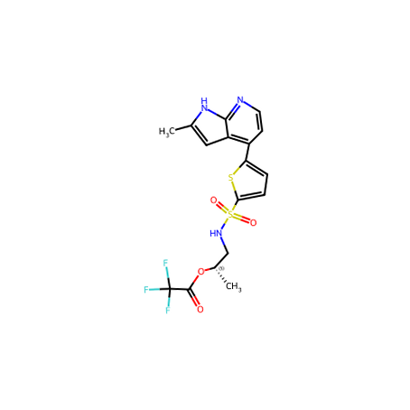 Cc1cc2c(-c3ccc(S(=O)(=O)NC[C@H](C)OC(=O)C(F)(F)F)s3)ccnc2[nH]1